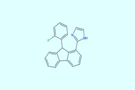 Fc1ccccc1C1c2ccccc2-c2cccc(-c3ncc[nH]3)c21